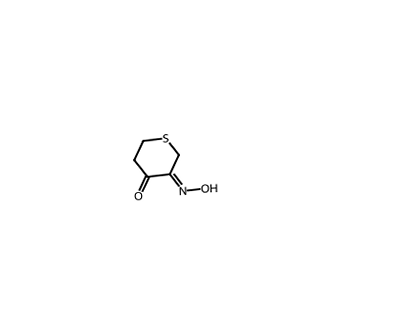 O=C1CCSC/C1=N\O